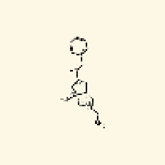 BCCC[C@H]1C[C@H](NCc2ccccc2)C[C@@]1(N)C(=O)O